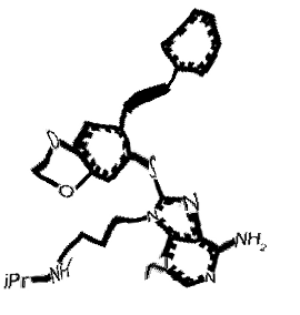 CC(C)NCCCn1c(Sc2cc3c(cc2C#Cc2ccccc2)OCO3)nc2c(N)ncnc21